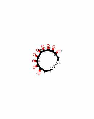 O=C1CCCCCCC(=O)C(=O)C(=O)C(=O)C(=O)C(=O)C(=O)C1=O